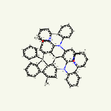 Cc1cc2c3c(c1)N(c1ccccc1-c1ccccn1)c1cc(C)cc4c1B3c1c(cc(C)cc1[Si]4(c1ccccc1)c1ccccc1)N2c1ccccc1-c1ccccn1